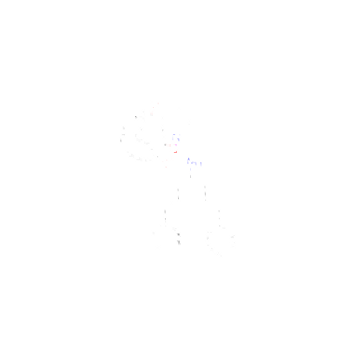 O=C(NC(CCCc1ccccc1)CCCc1ccccc1)N1CCCCC12C(=O)c1ccc3cc(ccc3c1)C2=O